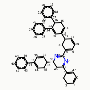 C1=CCCC(C2=NC(C3=CC=CC(C4=CCC(c5ccccc5)C(c5ccccc5)=C4)C3)=N[C@H](C3C=CC(c4ccccc4)=CC3)C2)=C1